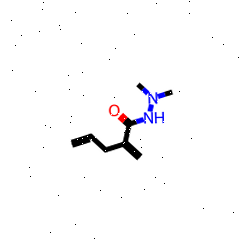 C=CCC(=C)C(=O)NN(C)C